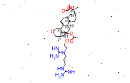 CC(=O)O[C@@H]1C[C@@]23COC[C@@](C)([C@@H]2CC[C@H]2C3=CC[C@@]3(C)[C@H](C(=O)O)[C@@](C)([C@H](C)C(C)C)CC[C@]23C)[C@H]1OCCN(CCCNC(=N)N)C(=N)N